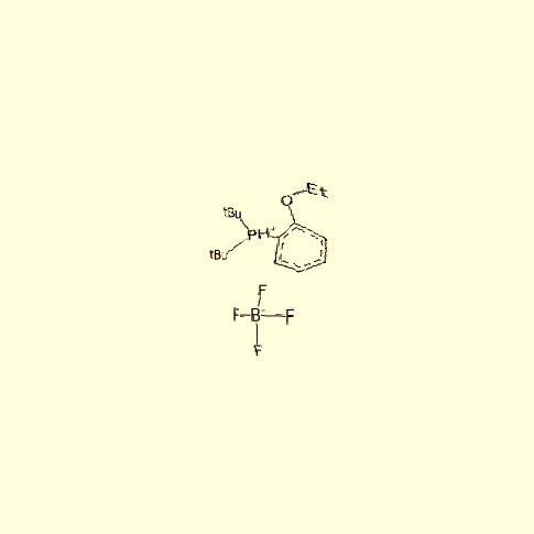 CCOc1ccccc1[PH+](C(C)(C)C)C(C)(C)C.F[B-](F)(F)F